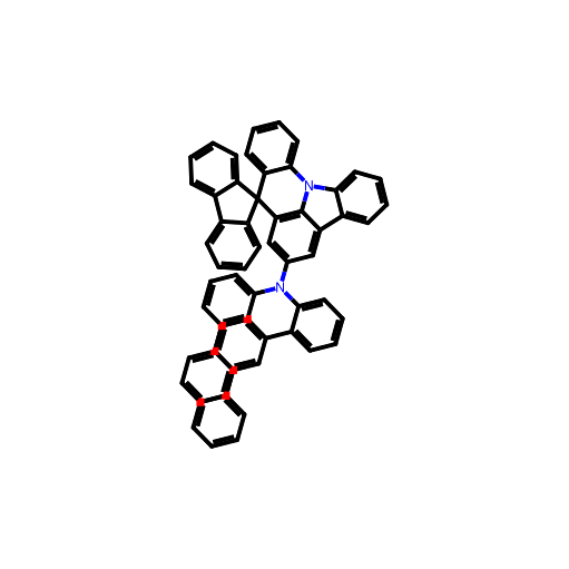 c1ccc(-c2cccc(-c3ccccc3N(c3cccc(-c4ccccc4)c3)c3cc4c5c(c3)c3ccccc3n5-c3ccccc3C43c4ccccc4-c4ccccc43)c2)cc1